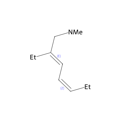 CC/C=C\C=C(/CC)CNC